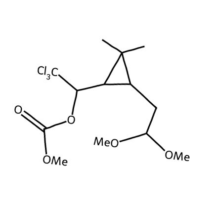 COC(=O)OC(C1C(CC(OC)OC)C1(C)C)C(Cl)(Cl)Cl